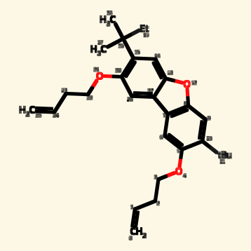 C=CCCOc1cc2c(cc1C(C)(C)C)oc1cc(C(C)(C)CC)c(OCCC=C)cc12